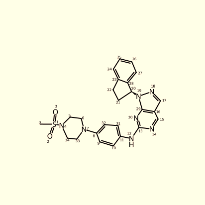 CS(=O)(=O)N1CCN(c2ccc(Nc3ncc4cnn([C@H]5CCc6ccccc65)c4n3)cc2)CC1